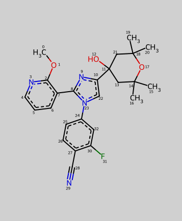 COc1ncccc1-c1nc(C2(O)CC(C)(C)OC(C)(C)C2)cn1-c1ccc(C#N)c(F)c1